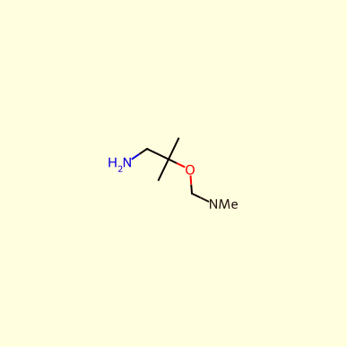 CNCOC(C)(C)CN